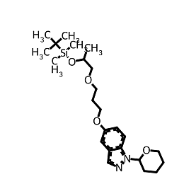 CC(COCCCOc1ccc2c(cnn2C2CCCCO2)c1)O[Si](C)(C)C(C)(C)C